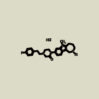 CCN1CCCc2c(c3ccc(N4CCN(CCc5ccc(F)cc5)CC4=O)cc3n2C)C1.Cl